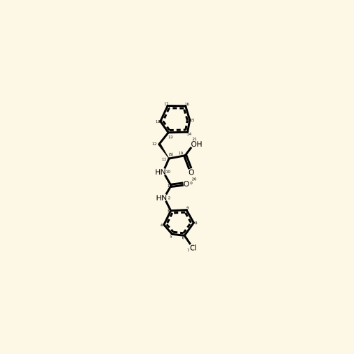 O=C(Nc1ccc(Cl)cc1)N[C@@H](Cc1ccccc1)C(=O)O